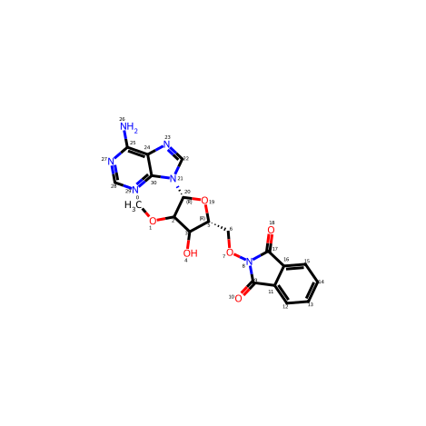 COC1C(O)[C@@H](CON2C(=O)c3ccccc3C2=O)O[C@H]1n1cnc2c(N)ncnc21